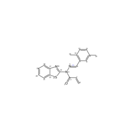 C=CC(=O)N(/N=C/c1cc(C)ccc1C)c1nc2ccccc2s1